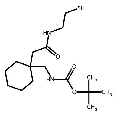 CC(C)(C)OC(=O)NCC1(CC(=O)NCCS)CCCCC1